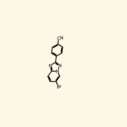 N#Cc1ccc(-c2nc3ccc(Br)cn3n2)cc1